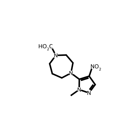 Cn1ncc([N+](=O)[O-])c1N1CCCN(C(=O)O)CC1